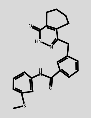 CSc1cccc(NC(=O)c2cccc(Cc3n[nH]c(=O)c4c3CCCC4)c2)c1